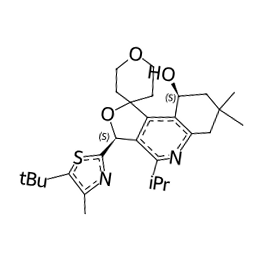 Cc1nc([C@H]2OC3(CCOCC3)c3c2c(C(C)C)nc2c3[C@@H](O)CC(C)(C)C2)sc1C(C)(C)C